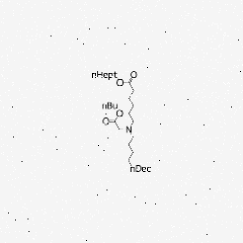 CCCCCCCCCCCCCCN(CCCCCC(=O)OCCCCCCC)CC(=O)OCCCC